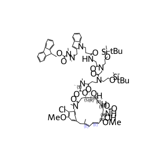 COc1cc2cc(c1Cl)N(C)C(=O)C[C@H](OC(=O)[C@H](C)N(C)C(=O)CCN(CCO[Si](C)(C)C(C)(C)C)C(=O)CN(CCO[Si](C)(C)C(C)(C)C)C(=O)CNC(=O)CCn1c(CN(C)N(C)C(=O)OCC3c4ccccc4-c4ccccc43)cc3ccccc31)[C@@]1(C)O[C@H]1[C@H](C)[C@@H]1C[C@@](O)(NC(=O)O1)[C@H](OC)/C=C/C=C(\C)C2